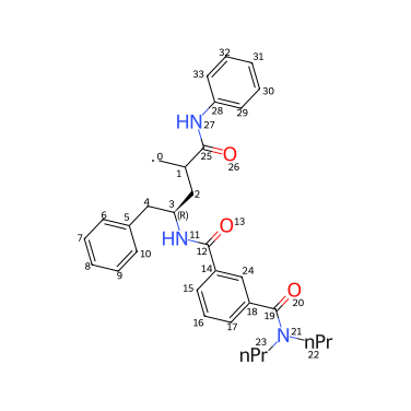 [CH2]C(C[C@H](Cc1ccccc1)NC(=O)c1cccc(C(=O)N(CCC)CCC)c1)C(=O)Nc1ccccc1